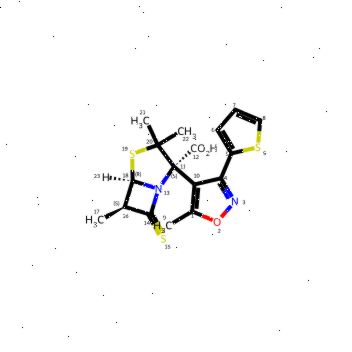 Cc1onc(-c2cccs2)c1[C@@]1(C(=O)O)N2C(=S)[C@@H](C)[C@H]2SC1(C)C